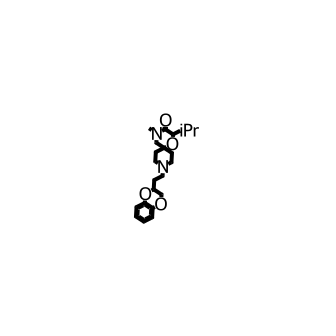 CC(C)C1OC2(CCN(CCC3COc4ccccc4O3)CC2)CN(C)C1=O